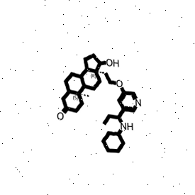 CCC(NC1CCCCC1)c1cncc(OCC[C@]23CCC4C(CCC5CC(=O)CC[C@@]54C)C2CCC3O)c1